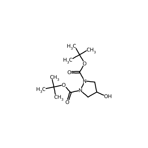 CC(C)(C)OC(=O)N1CC(O)CN1C(=O)OC(C)(C)C